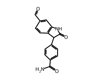 NC(=O)c1ccc(C2C(=O)Nc3cc(C=O)ccc32)cc1